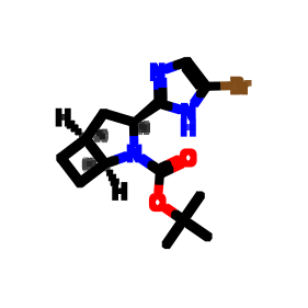 CC(C)(C)OC(=O)N1[C@H](c2ncc(Br)[nH]2)C[C@@H]2CC[C@@H]21